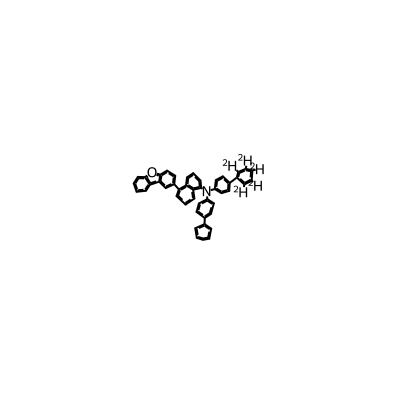 [2H]c1c([2H])c([2H])c(-c2ccc(N(c3ccc(-c4ccccc4)cc3)c3cccc4c(-c5ccc6oc7ccccc7c6c5)cccc34)cc2)c([2H])c1[2H]